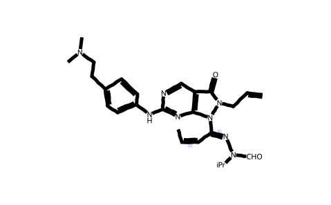 C=CCn1c(=O)c2cnc(Nc3ccc(CCN(C)C)cc3)nc2n1C(/C=C\C)=N/N(C=O)C(C)C